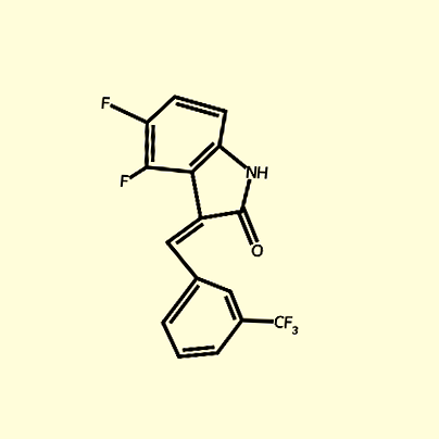 O=C1Nc2ccc(F)c(F)c2/C1=C/c1cccc(C(F)(F)F)c1